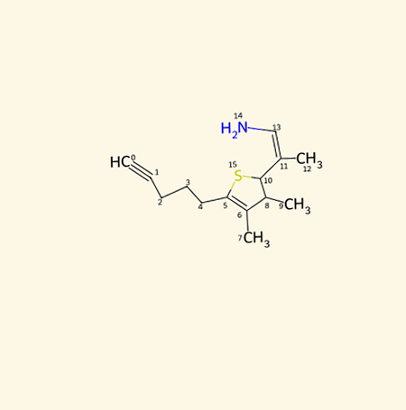 C#CCCCC1=C(C)C(C)C(/C(C)=C\N)S1